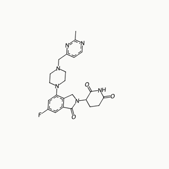 Cc1nccc(CN2CCN(c3cc(F)cc4c3CN(C3CCC(=O)NC3=O)C4=O)CC2)n1